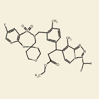 CCOC(=O)CC(c1ccc(C)c(CN2CC3(CCOCC3)Oc3ncc(F)cc3S2(=O)=O)c1)c1ccn2c(C(F)F)nnc2c1C